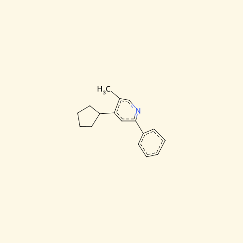 Cc1cnc(-c2ccccc2)cc1C1CCCC1